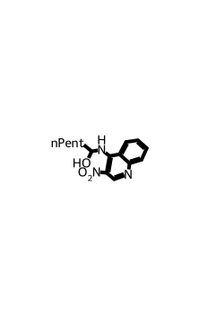 CCCCCC(O)Nc1c([N+](=O)[O-])cnc2ccccc12